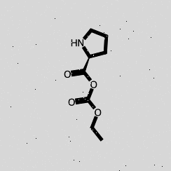 CCOC(=O)OC(=O)[C@@H]1CCCN1